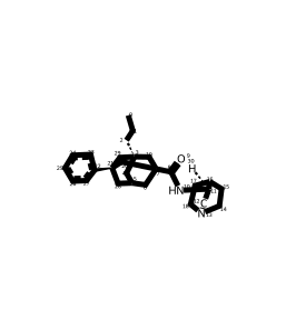 CCC[C@@]12CC3CC(C(=O)N[C@@H]4CN5CCC4CC5)(C1)C[C@](c1ccccc1)(C3)C2